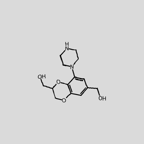 OCc1cc2c(c(N3CCNCC3)c1)OC(CO)CO2